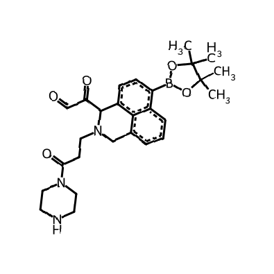 CC1(C)OB(c2ccc3c4c(cccc24)CN(CCC(=O)N2CCNCC2)C3C(=O)C=O)OC1(C)C